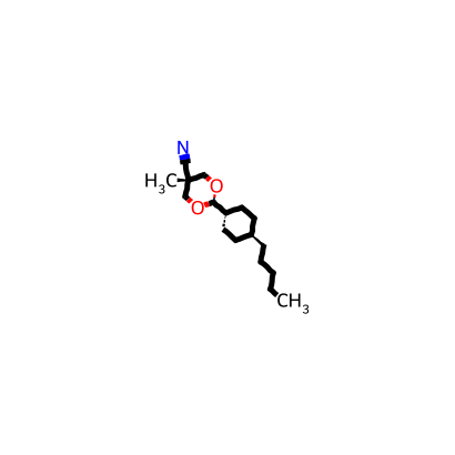 CCCCC[C@H]1CC[C@H]([C@H]2OC[C@@](C)(C#N)CO2)CC1